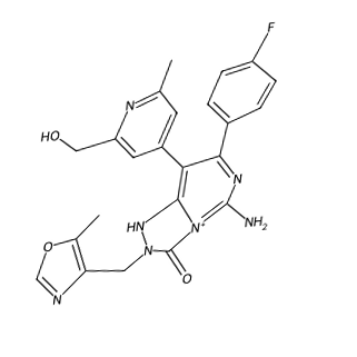 Cc1cc(-c2c(-c3ccc(F)cc3)nc(N)[n+]3c(=O)n(Cc4ncoc4C)[nH]c23)cc(CO)n1